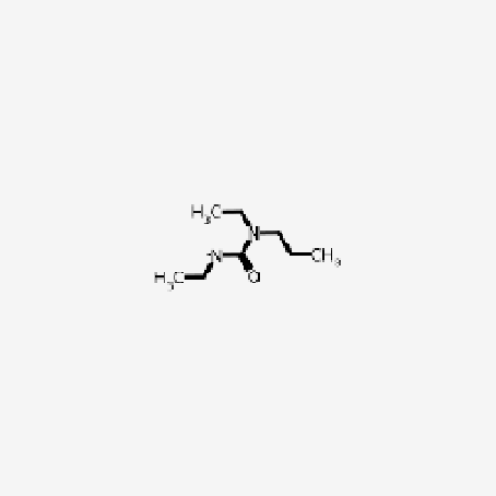 CCCN(CC)C(=O)[N]CC